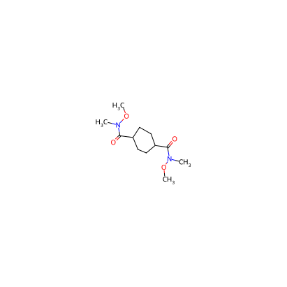 CON(C)C(=O)C1CCC(C(=O)N(C)OC)CC1